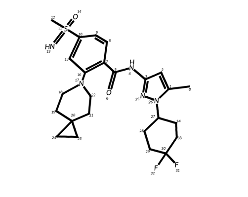 Cc1cc(NC(=O)c2ccc(S(C)(=N)=O)cc2N2CCC3(CC2)CC3)nn1C1CCC(F)(F)CC1